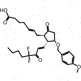 CCCCC(F)(F)C(=O)/C=C/[C@H]1[C@H](OCc2ccc(OC)cc2)CC(=O)[C@@H]1CC=CCCCC(=O)O